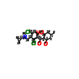 CC1CC(=O)C(C(=O)c2ccc(Cl)c(CN(C)C3CC3)c2Cl)=C(O)C1